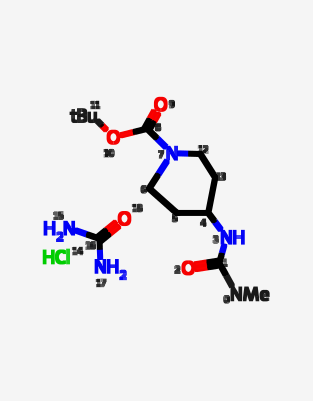 CNC(=O)NC1CCN(C(=O)OC(C)(C)C)CC1.Cl.NC(N)=O